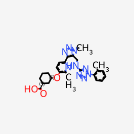 Cc1ccccc1-n1nnc(NCc2c(-c3ccc(O[C@H]4CCC[C@H](C(=O)O)C4)c(C)n3)nnn2C)n1